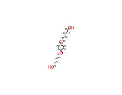 OCCCCCCOc1ccc(OCCCCCCO)cc1